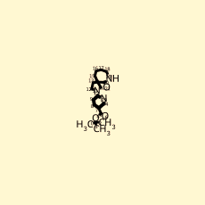 CC(C)(C)OC(=O)c1ccc(N2CCC3(CCCCNC3=O)C2)nc1